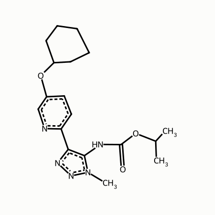 CC(C)OC(=O)Nc1c(-c2ccc(OC3CCCCC3)cn2)nnn1C